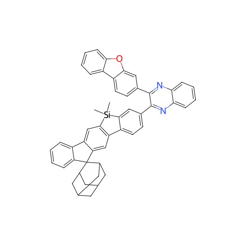 C[Si]1(C)c2cc(-c3nc4ccccc4nc3-c3ccc4c(c3)oc3ccccc34)ccc2-c2cc3c(cc21)-c1ccccc1C31C2CC3CC(C2)CC1C3